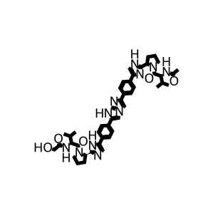 CC(=O)N[C@H](C(=O)N1CCCC1c1nc(-c2ccc(-c3cn4cc(-c5ccc(-c6cnc([C@@H]7CCCN7C(=O)[C@@H](NC(=O)CO)C(C)C)[nH]6)cc5)[nH]c4n3)cc2)c[nH]1)C(C)C